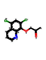 CC(=O)COc1c(Cl)cc(Cl)c2cccnc12